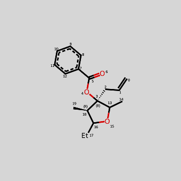 C=CC[C@]1(OC(=O)c2ccccc2)C(C)OC(CC)[C@H]1C